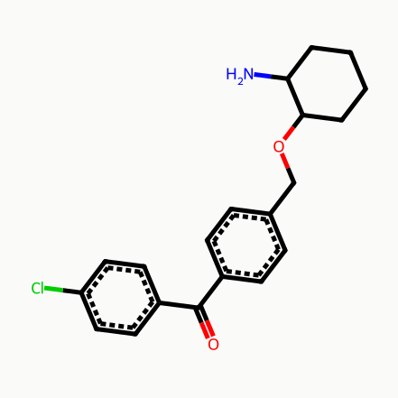 NC1CCCCC1OCc1ccc(C(=O)c2ccc(Cl)cc2)cc1